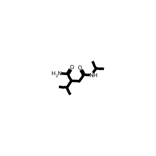 CC(C)NC(=O)CC(C(N)=O)C(C)C